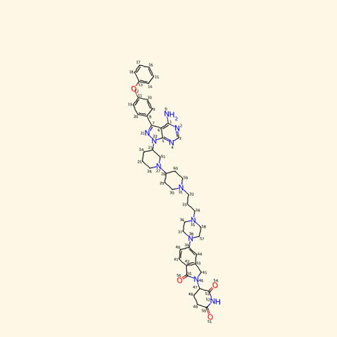 Nc1ncnc2c1c(-c1ccc(Oc3ccccc3)cc1)nn2C1CCCN(C2CCN(CCCN3CCN(c4ccc5c(c4)CN(C4CCC(=O)NC4=O)C5=O)CC3)CC2)C1